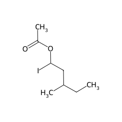 CCC(C)CC(I)OC(C)=O